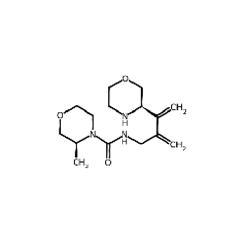 C=C(CNC(=O)N1CCOC[C@@H]1C)C(=C)[C@@H]1COCCN1